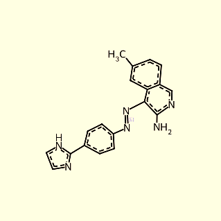 Cc1ccc2cnc(N)c(/N=N/c3ccc(-c4ncc[nH]4)cc3)c2c1